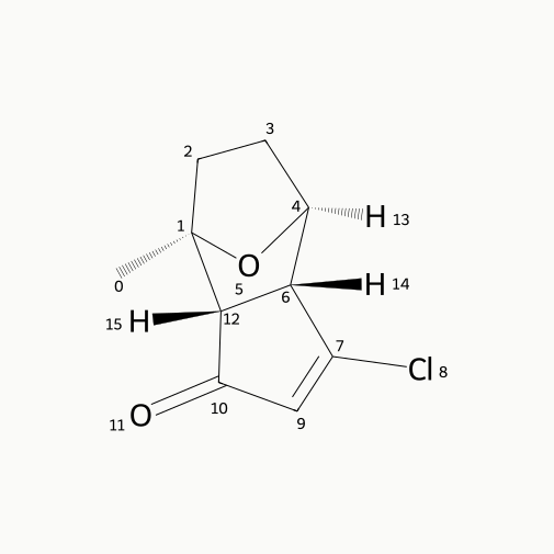 C[C@]12CC[C@H](O1)[C@@H]1C(Cl)=CC(=O)[C@@H]12